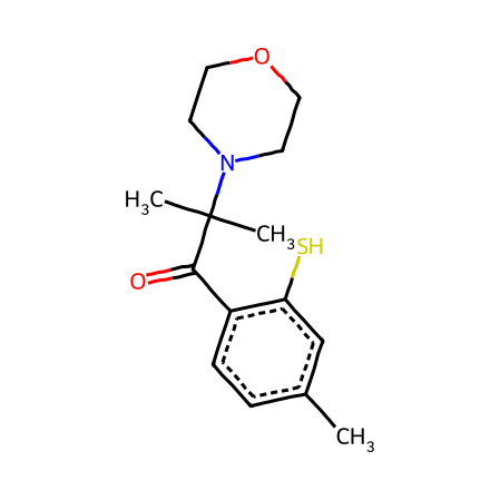 Cc1ccc(C(=O)C(C)(C)N2CCOCC2)c(S)c1